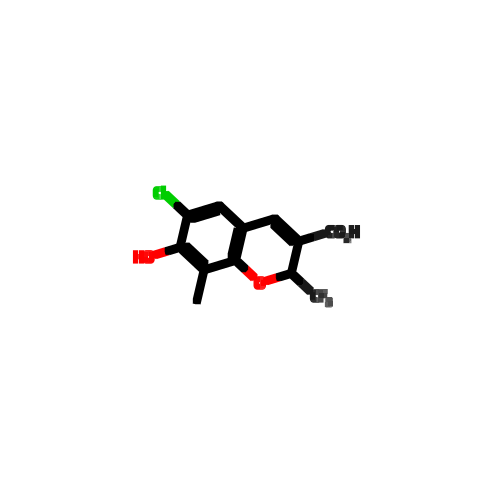 Cc1c(O)c(Cl)cc2c1OC(C(F)(F)F)C(C(=O)O)=C2